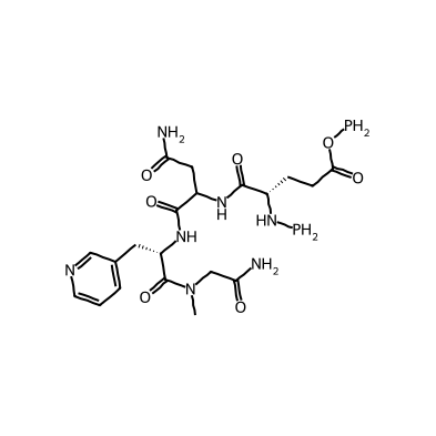 CN(CC(N)=O)C(=O)[C@H](Cc1cccnc1)NC(=O)C(CC(N)=O)NC(=O)[C@H](CCC(=O)OP)NP